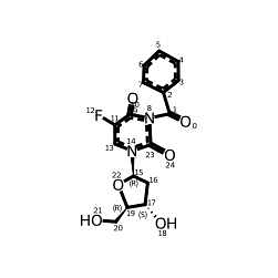 O=C(c1ccccc1)n1c(=O)c(F)cn([C@H]2C[C@H](O)[C@@H](CO)O2)c1=O